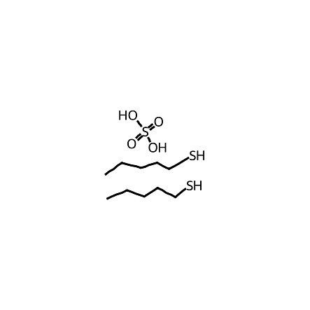 CCCCCS.CCCCCS.O=S(=O)(O)O